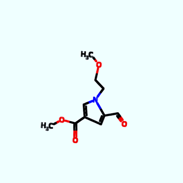 COCCn1cc(C(=O)OC)cc1C=O